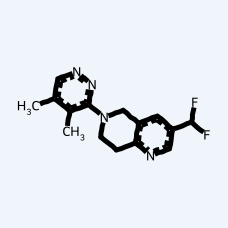 Cc1cnnc(N2CCc3ncc(C(F)F)cc3C2)c1C